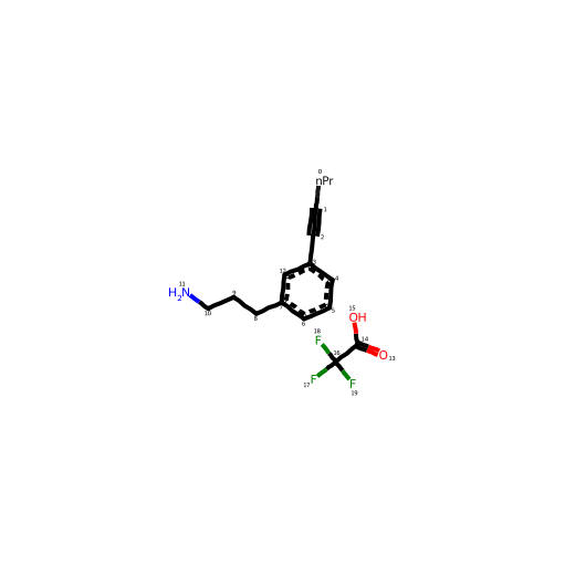 CCCC#Cc1cccc(CCCN)c1.O=C(O)C(F)(F)F